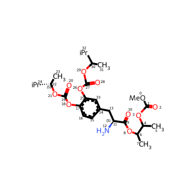 COC(=O)OC(C)C(C)OC(=O)[C@@H](N)Cc1ccc(OC(=O)O[C@@H](C)C(C)C)c(OC(=O)OC(C)C(C)C)c1